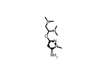 CN(C)CC(Oc1cc(N)n(C)n1)N(C)C